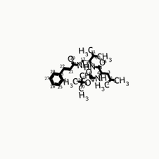 CC(C)CC(NC(=O)OC(C)(C)C)C(=O)N[C@H](CNC(=O)/C=C/c1ccccc1)C(C)C